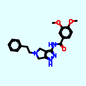 COc1ccc(C(=O)Nc2n[nH]c3c2CN(CCc2ccccc2)C3)cc1OC